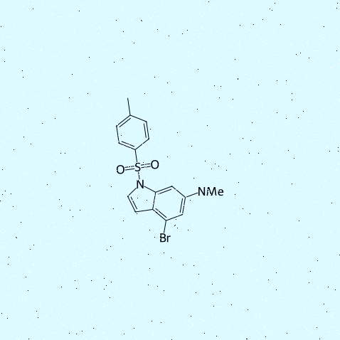 CNc1cc(Br)c2ccn(S(=O)(=O)c3ccc(C)cc3)c2c1